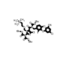 CC(C)(C)OC(=O)N(Cc1ccc(Cl)c(Oc2cc(Cl)cc(C#N)c2)c1F)C(=O)c1c(Cl)nc(N(C(=O)OC(C)(C)C)C(=O)OC(C)(C)C)n1COCC[Si](C)(C)C